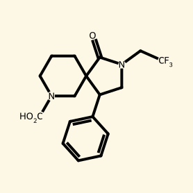 O=C(O)N1CCCC2(C1)C(=O)N(CC(F)(F)F)CC2c1ccccc1